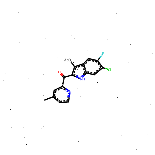 CC(=O)Oc1c(C(=O)c2cc(C)ccn2)[nH]c2cc(Cl)c(F)cc12